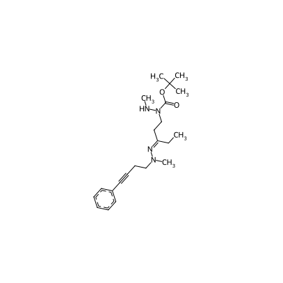 CC/C(CCN(NC)C(=O)OC(C)(C)C)=N\N(C)CCC#Cc1ccccc1